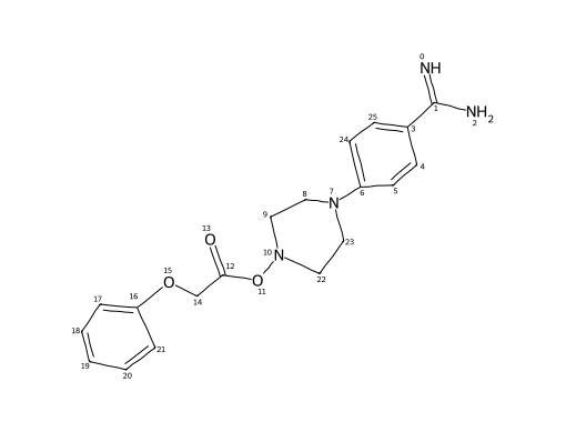 N=C(N)c1ccc(N2CCN(OC(=O)COc3ccccc3)CC2)cc1